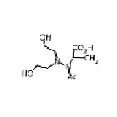 CC(=O)N(C(C)C(=O)O)N(CCO)CCO